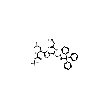 CC(C)C[C@H](NC(=O)OC(C)(C)C)c1noc([C@H](CC(=O)NC(c2ccccc2)(c2ccccc2)c2ccccc2)NC(=O)CN)n1